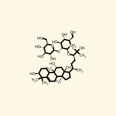 C[C@H](CC[C@@H](O[C@@H]1O[C@H](CO)[C@@H](O)[C@H](O)[C@H]1O[C@@H]1O[C@H](CO)[C@@H](O)[C@H](O)[C@H]1O)C(C)(C)O)C1CC[C@@]2(C)C3CC=C4C(CC[C@H](O)C4(C)C)[C@]3(C)[C@H](O)C[C@]12C